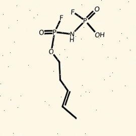 C/C=C/CCOP(=O)(F)NP(=O)(O)F